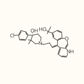 CC(C)(O)c1ccc2c(c1)C(=CCCN1CC[C@](O)(c3ccc(Cl)cc3)C(C)(C)C1)C1=CC=CNC1=CO2